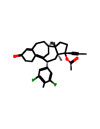 CC#C[C@]1(OC(C)=O)CC[C@H]2[C@@H]3CCC4=CC(=O)CCC4=C(C3)[C@@H](c3cc(F)c(C)c(F)c3)C[C@@]21C